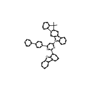 CC1(C)c2ccccc2-c2cc3c(cc21)c1ccccc1n3-c1cc(-c2ccc(-c3ccccc3)cc2)nc(-c2cccc3c2oc2ccccc23)n1